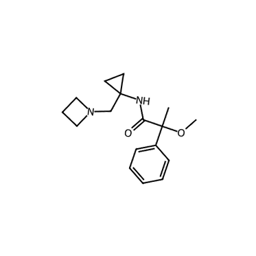 COC(C)(C(=O)NC1(CN2CCC2)CC1)c1ccccc1